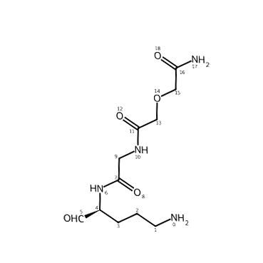 NCCC[C@@H](C=O)NC(=O)CNC(=O)COCC(N)=O